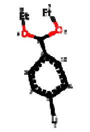 [Li][c]1ccc(C(OCC)OCC)cc1